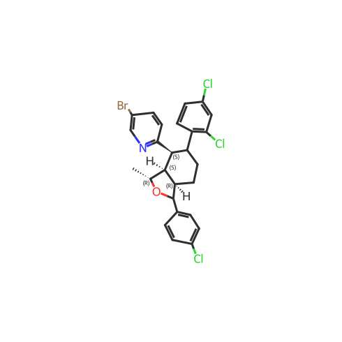 C[C@H]1OC(c2ccc(Cl)cc2)[C@@H]2CCC(c3ccc(Cl)cc3Cl)[C@H](c3ccc(Br)cn3)[C@H]12